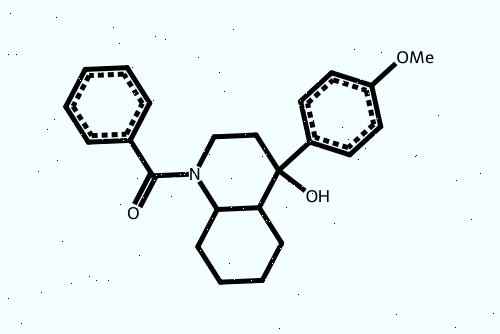 COc1ccc(C2(O)CCN(C(=O)c3ccccc3)C3CCCCC32)cc1